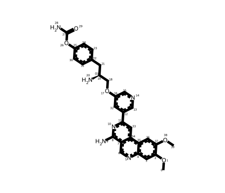 COc1cc2ncc3c(N)nc(-c4cncc(OC[C@@H](N)Cc5ccc(OC(N)=O)cc5)c4)cc3c2cc1OC